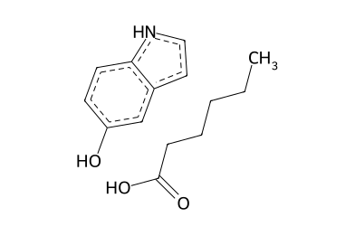 CCCCCC(=O)O.Oc1ccc2[nH]ccc2c1